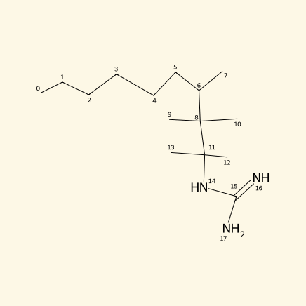 CCCCCCC(C)C(C)(C)C(C)(C)NC(=N)N